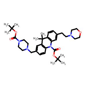 CC(C)(C)OC(=O)N1CCN(Cc2ccc3c(c2)C(C)(C)c2ccc(CCN4CCOCC4)cc2N3C(=O)OC(C)(C)C)CC1